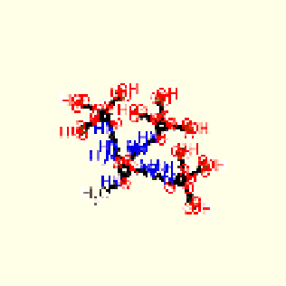 CCCCNC(=O)c1cc(OC/C(N)=C/NCCCNC(=O)c2cc(OCCCS(=O)(=O)O)c(OCCCS(=O)(=O)O)c(OCCCS(=O)(=O)O)c2)c(OC/C(=C/NCCCNC(=O)c2cc(OCCCS(=O)(=O)O)c(OCCCS(=O)(=O)O)c(OCCCS(=O)(=O)O)c2)N=N)c(OC/C(N)=C/N(N)CCCNC(=O)c2cc(OCCCS(=O)(=O)O)c(OCCCS(=O)(=O)O)c(OCCCS(=O)(=O)O)c2)c1